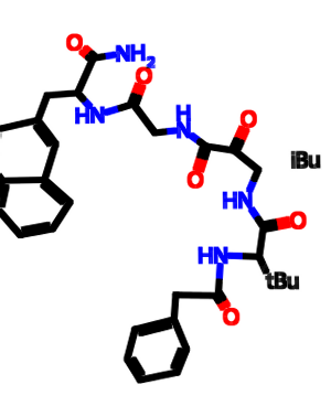 CC[C@H](C)C(NC(=O)C(NC(=O)Cc1ccccc1)C(C)(C)C)C(=O)C(=O)NCC(=O)NC(Cc1ccc2ccccc2c1)C(N)=O